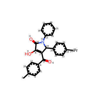 Cc1ccc(C(=O)C2=C(O)C(=O)N(c3ccccc3)C2c2ccc(C(C)C)cc2)cc1